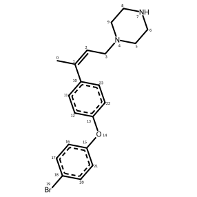 CC(=CCN1CCNCC1)c1ccc(Oc2ccc(Br)cc2)cc1